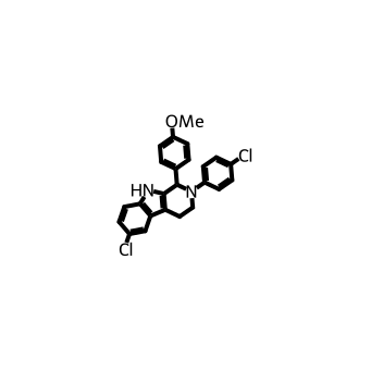 COc1ccc(C2c3[nH]c4ccc(Cl)cc4c3CCN2c2ccc(Cl)cc2)cc1